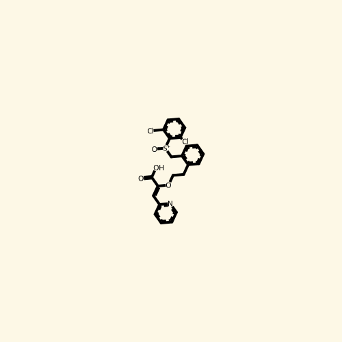 O=C(O)C(=Cc1ccccn1)OCCc1ccccc1C[S+]([O-])c1c(Cl)cccc1Cl